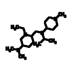 CCN1CC(N(C)C)CCC1CN(C(C)C)C1CCN(C)CC1